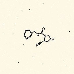 N#C[C@@H]1C[C@H](F)CN1C(=O)OCc1ccccc1